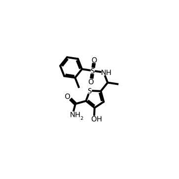 Cc1ccccc1S(=O)(=O)NC(C)c1cc(O)c(C(N)=O)s1